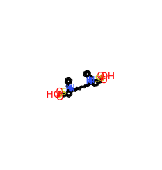 O=S(=O)(O)c1cc2c(s1)-c1c(c(/C=C/CCC/C=C/c3nn(Cc4ccccc4)c4c3CCc3cc(S(=O)(=O)O)sc3-4)nn1Cc1ccccc1)CC2